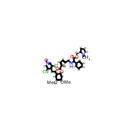 COc1ccc(C(Cc2c(Cl)c[n+]([O-])cc2Cl)OC(=O)c2ccc(CNC(C(=O)OC[C@H]3CCCN3C)c3ccccc3)s2)cc1OC